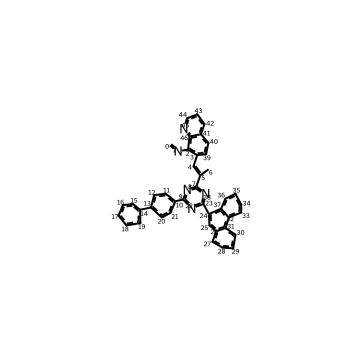 C=Nc1c(/C=C(\C)c2nc(-c3ccc(-c4ccccc4)cc3)nc(-c3cc4ccccc4c4ccccc34)n2)ccc2cccnc12